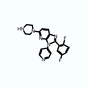 Fc1ccc(F)c(-c2nc3ccc(N4CCNCC4)nc3n2-c2ccncc2)c1